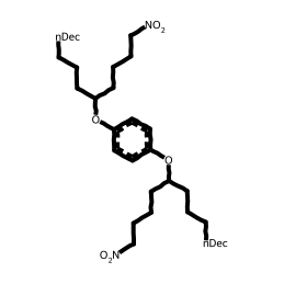 CCCCCCCCCCCCCC(CCCC[N+](=O)[O-])Oc1ccc(OC(CCCCCCCCCCCCC)CCCC[N+](=O)[O-])cc1